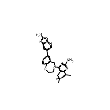 CC1=CC(C)(C)Cc2c1nc(N)nc2N1CCOc2ccc(-c3cnc4sc(N)nc4c3)cc2C1